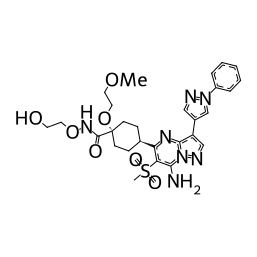 COCCO[C@]1(C(=O)NOCCO)CC[C@@H](c2nc3c(-c4cnn(-c5ccccc5)c4)cnn3c(N)c2S(C)(=O)=O)CC1